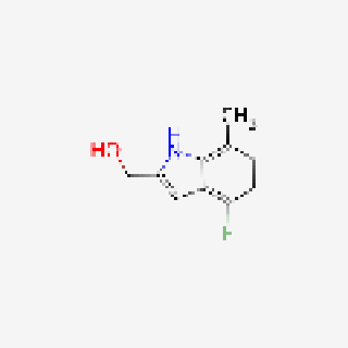 Cc1ccc(F)c2cc(CO)[nH]c12